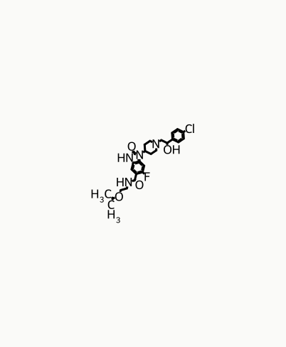 CC(C)OCCNC(=O)c1cc2[nH]c(=O)n(C3CCN(CC(O)c4ccc(Cl)cc4)CC3)c2cc1F